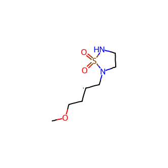 COCC[CH]CN1CCNS1(=O)=O